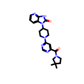 CC1(C)CCN(C(=O)c2cc(N3CCC(n4c(=O)[nH]c5ncccc54)CC3)ncn2)C1